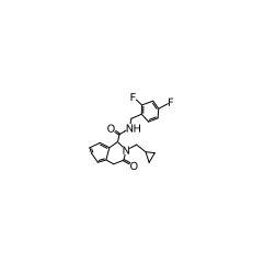 O=C(NCc1ccc(F)cc1F)C1c2ccccc2CC(=O)N1CC1CC1